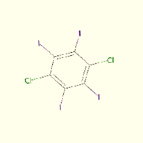 Clc1c(I)c(I)c(Cl)c(I)c1I